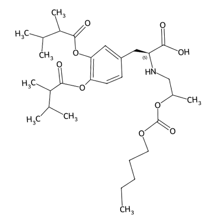 CCCCCOC(=O)OC(C)CN[C@@H](Cc1ccc(OC(=O)C(C)C(C)C)c(OC(=O)C(C)C(C)C)c1)C(=O)O